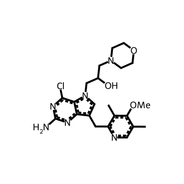 COc1c(C)cnc(Cc2cn(CC(O)CN3CCOCC3)c3c(Cl)nc(N)nc23)c1C